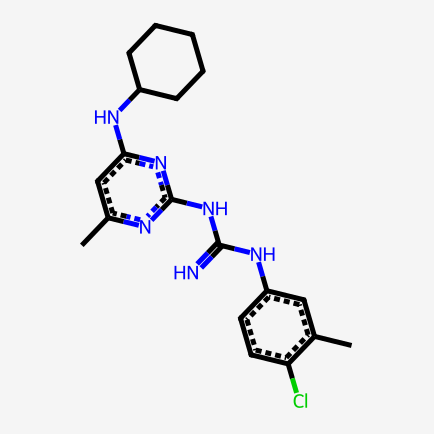 Cc1cc(NC2CCCCC2)nc(NC(=N)Nc2ccc(Cl)c(C)c2)n1